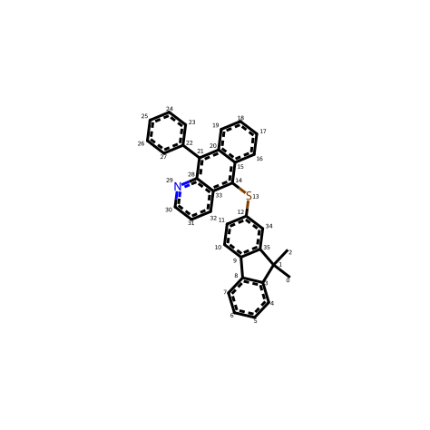 CC1(C)c2ccccc2-c2ccc(Sc3c4ccccc4c(-c4ccccc4)c4ncccc34)cc21